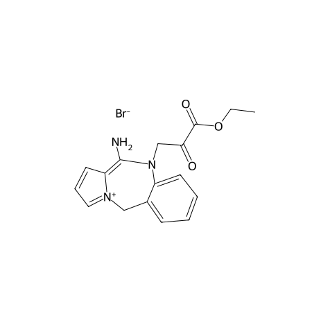 CCOC(=O)C(=O)CN1C(N)=C2C=CC=[N+]2Cc2ccccc21.[Br-]